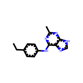 CCc1ccc(Nc2nc(C)nc3[nH]cnc23)cc1